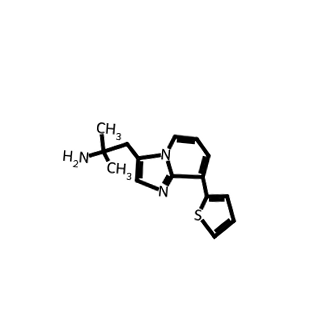 CC(C)(N)Cc1cnc2c(-c3cccs3)cccn12